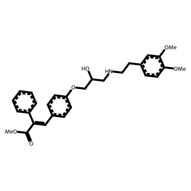 COC(=O)C(=Cc1ccc(OCC(O)CNCCc2ccc(OC)c(OC)c2)cc1)c1ccccc1